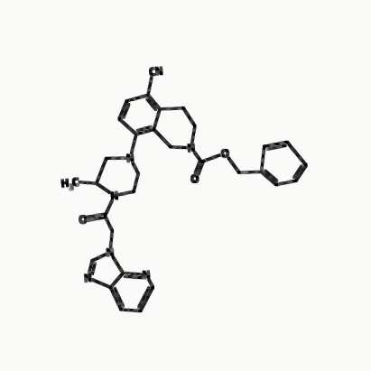 CC1CN(c2ccc(C#N)c3c2CN(C(=O)OCc2ccccc2)CC3)CCN1C(=O)Cn1cnc2cccnc21